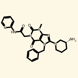 Cn1c(=O)n(CC(=O)Nc2ccccn2)c(=O)c2c1nc(N1CCC[C@@H](N)C1)n2Cc1ccccc1